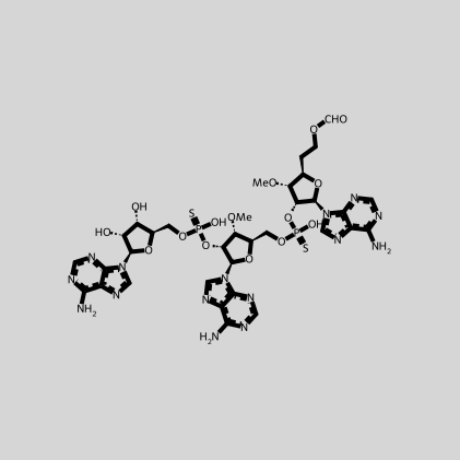 CO[C@H]1[C@@H](OP(O)(=S)OC[C@H]2O[C@@H](n3cnc4c(N)ncnc43)[C@H](OP(O)(=S)OC[C@H]3O[C@@H](n4cnc5c(N)ncnc54)[C@H](O)[C@@H]3O)[C@@H]2OC)[C@H](n2cnc3c(N)ncnc32)O[C@@H]1CCOC=O